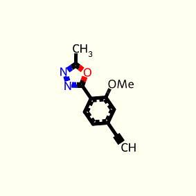 C#Cc1ccc(-c2nnc(C)o2)c(OC)c1